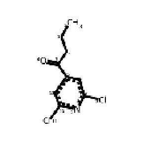 CCCC(=O)c1cc(Cl)nc(Cl)c1